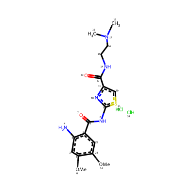 COc1cc(N)c(C(=O)Nc2nc(C(=O)NCCN(C)C)cs2)cc1OC.Cl.Cl